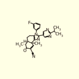 CC(C)c1ncc(-c2nc3c(n2-c2cccc(F)c2)CC[C@@H]2[C@@H](C)C(=O)C(C#N)=C[C@@]32C)cn1